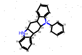 C1=CCC(N2c3ccccc3C3CC4Nc5ccccc5C4CC32)C=C1